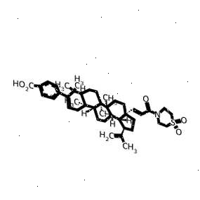 C=C(C)[C@@H]1CC[C@]2(/C=C/C(=O)N3CCS(=O)(=O)CC3)CC[C@]3(C)[C@H](CC[C@@H]4[C@@]5(C)CC=C(c6ccc(C(=O)O)cc6)C(C)(C)[C@@H]5CC[C@]43C)[C@@H]12